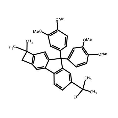 CCC(C)(C)c1ccc2c(c1)C(c1ccc(OC)c(OC)c1)(c1ccc(OC)c(OC)c1)c1cc3c(cc1-2)CC3(C)C